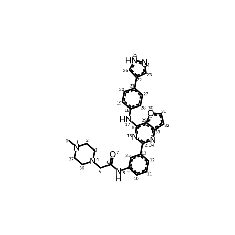 CN1CCN(CC(=O)Nc2cccc(-c3nc(Nc4ccc(-c5cn[nH]c5)cc4)c4occc4n3)c2)CC1